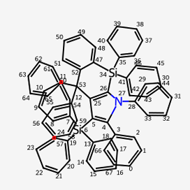 c1ccc(-c2c([Si](c3ccccc3)(c3ccccc3)c3ccccc3)c3c(n2-c2ccccc2)[Si](c2ccccc2)(c2ccccc2)c2ccccc2C3(c2ccccc2)c2ccccc2)cc1